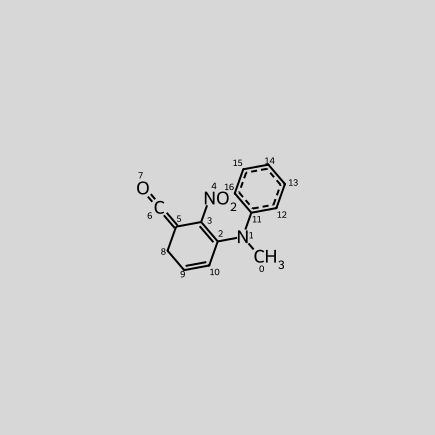 CN(C1=C([N+](=O)[O-])C(=C=O)CC=C1)c1ccccc1